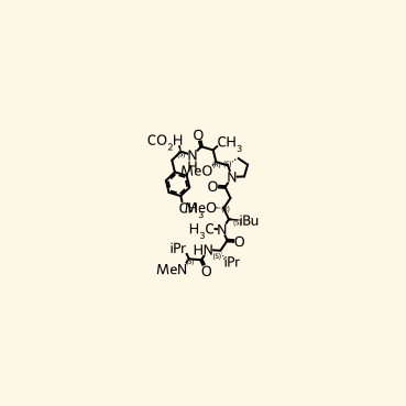 CC[C@H](C)C([C@@H](CC(=O)N1CCC[C@H]1[C@H](OC)C(C)C(=O)N[C@@H](Cc1ccc(C)cc1)C(=O)O)OC)N(C)C(=O)[C@@H](NC(=O)[C@@H](NC)C(C)C)C(C)C